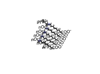 CC(C)[O][Ti+2][O]C(C)C.CCCCCCCC/C=C\CCCCCCCC(=O)[O-].CCCCCCCC/C=C\CCCCCCCC(=O)[O-].CCCCCCCC/C=C\CCCCCCCC(=O)[O-].CCCCCCCC/C=C\CCCCCCCC(=O)[O-].CCCCCCCC/C=C\CCCCCCCC(=O)[O-].[Al+3]